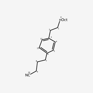 CCCCCCCCCCc1ccc(CCCC#N)cc1